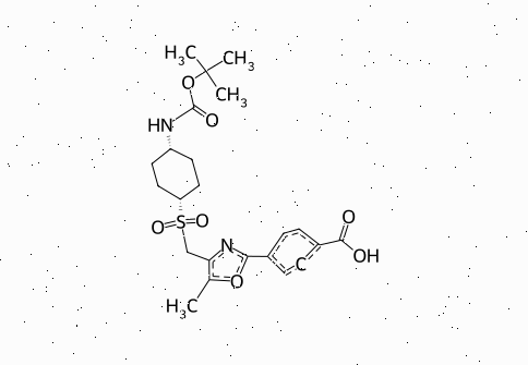 Cc1oc(-c2ccc(C(=O)O)cc2)nc1CS(=O)(=O)[C@H]1CC[C@@H](NC(=O)OC(C)(C)C)CC1